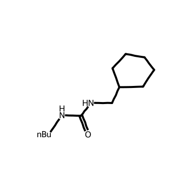 CCCCNC(=O)NCC1CCCCC1